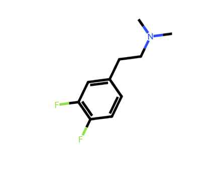 CN(C)CCc1ccc(F)c(F)c1